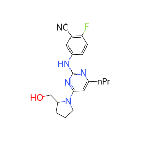 CCCc1cc(N2CCCC2CO)nc(Nc2ccc(F)c(C#N)c2)n1